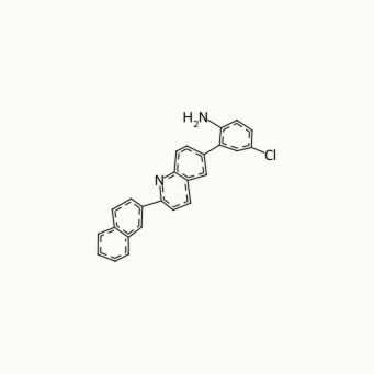 Nc1ccc(Cl)cc1-c1ccc2nc(-c3ccc4ccccc4c3)ccc2c1